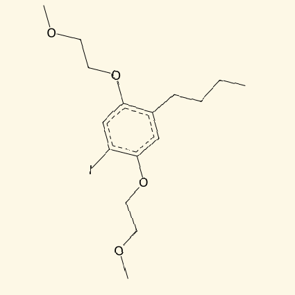 CCCCc1cc(OCCOC)c(I)cc1OCCOC